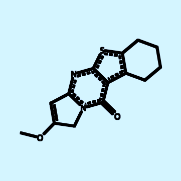 COC1=Cc2nc3sc4c(c3c(=O)n2C1)CCCC4